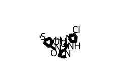 CSc1ccc(C(=O)Nc2cccnc2C(=O)Nc2ccc(Cl)cn2)c(O)c1